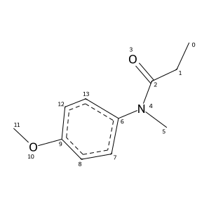 CCC(=O)N(C)c1ccc(OC)cc1